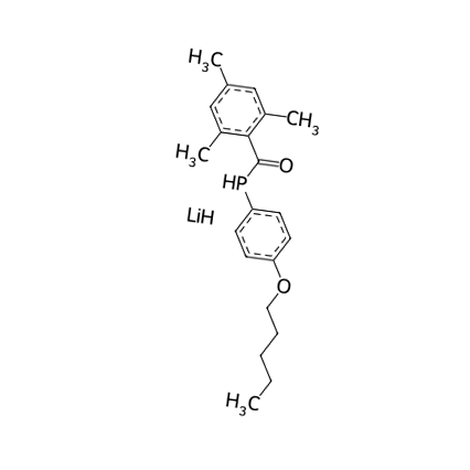 CCCCCOc1ccc(PC(=O)c2c(C)cc(C)cc2C)cc1.[LiH]